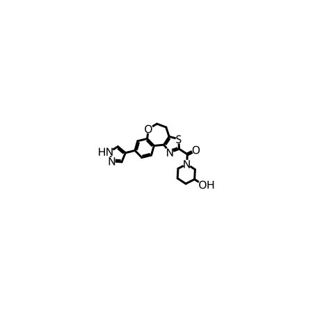 O=C(c1nc2c(s1)CCOc1cc(-c3cn[nH]c3)ccc1-2)N1CCCC(O)C1